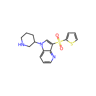 O=S(=O)(c1cccs1)c1cn(C2CCCNC2)c2cccnc12